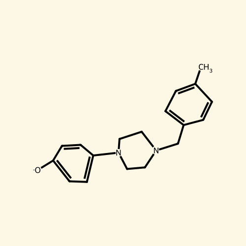 Cc1ccc(CN2CCN(c3ccc([O])cc3)CC2)cc1